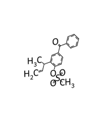 C=CC(C)c1cc(C(=O)c2ccccc2)ccc1OS(C)(=O)=O